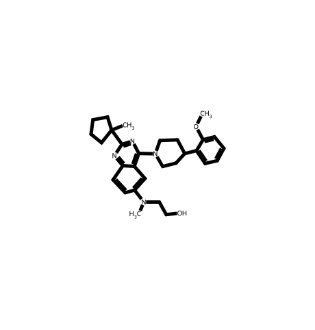 COc1ccccc1C1CCN(c2nc(C3(C)CCCC3)nc3ccc(N(C)CCO)cc23)CC1